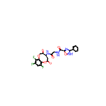 O=C(CNC(=O)C1=NC(c2ccccc2)NO1)NC1CC(=O)Oc2c(F)cc(F)c(F)c2OCC1=O